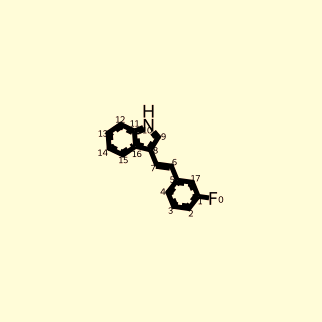 Fc1cccc(C=Cc2c[nH]c3ccccc23)c1